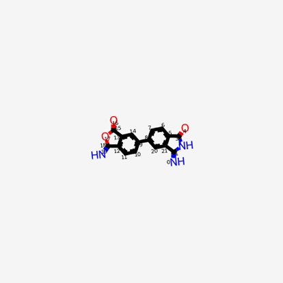 N=C1NC(=O)c2ccc(-c3ccc4c(c3)C(=O)OC4=N)cc21